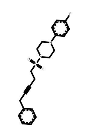 O=S(=O)(C[CH]C#CCc1ccccc1)N1CCN(c2ccc(F)cc2)CC1